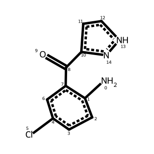 Nc1ccc(Cl)cc1C(=O)c1cc[nH]n1